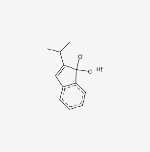 CC(C)C1=Cc2ccccc2C1(Cl)Cl.[Hf]